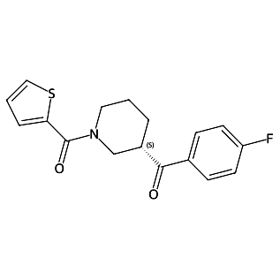 O=C(c1ccc(F)cc1)[C@H]1CCCN(C(=O)c2cccs2)C1